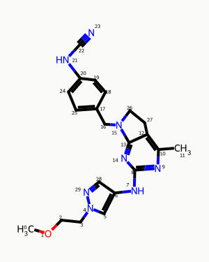 COCCn1cc(Nc2nc(C)c3c(n2)N(Cc2ccc(NC#N)cc2)CC3)cn1